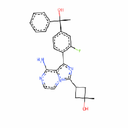 CC1(O)CC(c2nc(-c3ccc(C(C)(O)c4ccccc4)cc3F)c3c(N)nccn23)C1